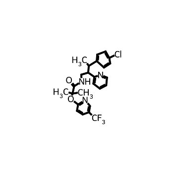 CC(c1ccc(Cl)cc1)C(CNC(=O)C(C)(C)Oc1ccc(C(F)(F)F)cn1)c1ccccn1